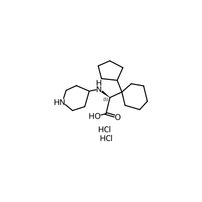 Cl.Cl.O=C(O)[C@@H](NC1CCNCC1)C1(C2CCCC2)CCCCC1